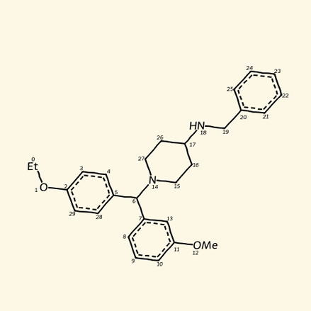 CCOc1ccc(C(c2cccc(OC)c2)N2CCC(NCc3ccccc3)CC2)cc1